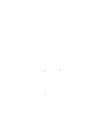 Cc1ccc(-c2cc(C(=O)O)c3nc(CN4CCNC(=O)C4)[nH]c3c2)c(Cl)c1